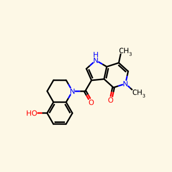 Cc1cn(C)c(=O)c2c(C(=O)N3CCCc4c(O)cccc43)c[nH]c12